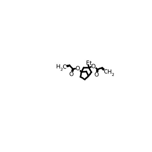 C=CC(=O)OC1(CC)CC2CCC(OC(=O)C=C)(C2)C1